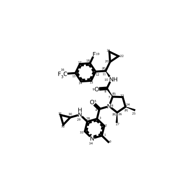 Cc1cc(C(=O)N2[C@@H](C(=O)N[C@@H](c3ccc(C(F)(F)F)cc3F)C3CC3)C[C@@H](C)[C@H]2C)c(NC2CC2)cn1